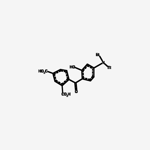 CCN(CC)c1ccc(C(=O)c2ccc(C(=O)O)cc2C(=O)O)c(O)c1